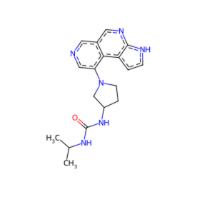 CC(C)NC(=O)NC1CCN(c2cncc3cnc4[nH]ccc4c23)C1